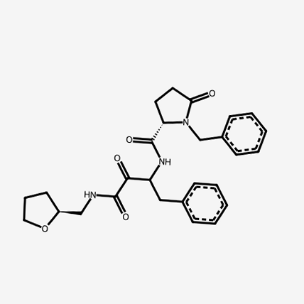 O=C(NC[C@@H]1CCCO1)C(=O)C(Cc1ccccc1)NC(=O)[C@@H]1CCC(=O)N1Cc1ccccc1